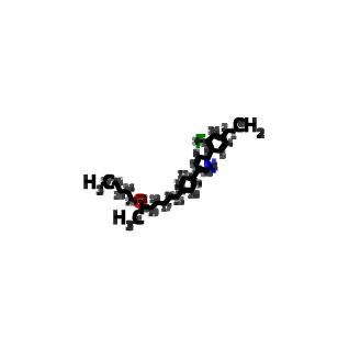 C=CCc1ccc(-c2ccc(-c3ccc(C=CCCCC(C)OCCCCC)cc3)cn2)c(F)c1